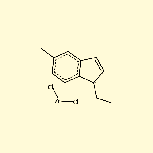 CC[C]1C=Cc2cc(C)ccc21.[Cl][Zr][Cl]